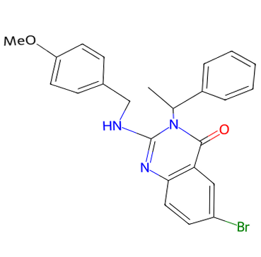 COc1ccc(CNc2nc3ccc(Br)cc3c(=O)n2C(C)c2ccccc2)cc1